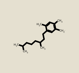 [CH2]c1cc(CCC(C)CCCC(C)C)c([CH2])cc1C